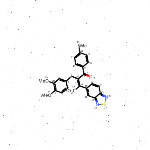 COc1ccc(C/C(C(=O)c2ccc(SC)cc2)=C(\C(=O)O)c2ccc3nsnc3c2)cc1OC